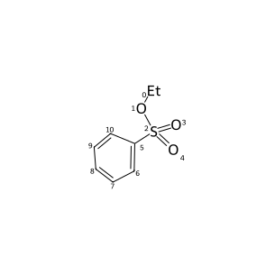 [CH2]COS(=O)(=O)c1ccccc1